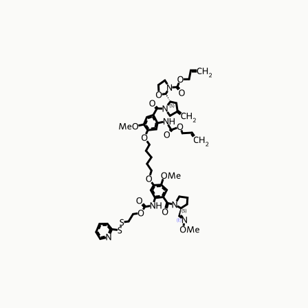 C=CCOC(=O)Nc1cc(OCCCCCOc2cc(NC(=O)OCCSSc3ccccn3)c(C(=O)N3CCC[C@H]3/C=N/OC)cc2OC)c(OC)cc1C(=O)N1CC(=C)C[C@H]1C1OCCN1C(=O)OCC=C